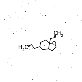 C=CCC1CCC2(CC=C)OCCC2C1